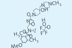 COc1cc(C)c(S(=O)(=O)N(Cc2nc(C(=O)N3CCC(O)(CN4CCN(C)CC4)CC3)co2)C2CC2)c(C)c1.O=C(O)C(F)(F)F